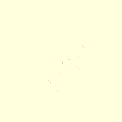 CCc1nc(Cc2c(C3CCC3)ccc(-c3cnc(N)cn3)c2F)cc(N(C)C)n1